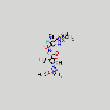 COC[C@H]1CN(c2cc(C)c3c4c(c(=O)oc3c2C)CN(C(=O)c2ccc(C(=O)NS(=O)(=O)N(C)C)c(N3C5CCC3CC5)c2F)CC4)CCN1C